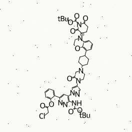 CC(C)(C)OC(=O)Nc1nnc(-c2ccccc2OC(=O)CCl)cc1-n1cc(N2CCN(C3CCC(c4cccc5c4OCCN5[C@H]4CCC(=O)N(C(=O)OC(C)(C)C)C4=O)CC3)CC2=O)cn1